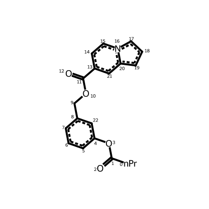 CCCC(=O)Oc1cccc(COC(=O)c2ccn3cccc3c2)c1